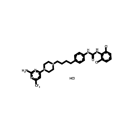 Cl.Nc1nc(N2CCN(CCCCc3ccc(NC(=O)Nc4c(Cl)cccc4Cl)cc3)CC2)cc(C(F)(F)F)n1